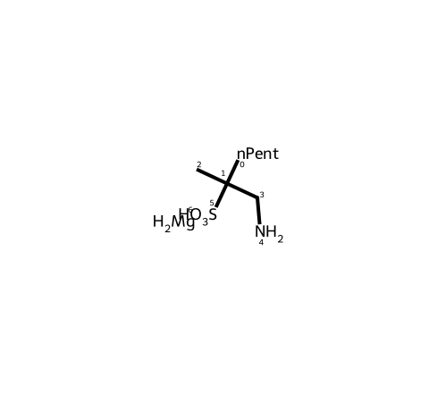 CCCCCC(C)(CN)S(=O)(=O)O.[MgH2]